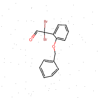 O=CC(Br)(Br)c1ccccc1OCc1ccccc1